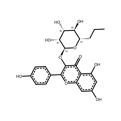 CCC[C@@H]1O[C@@H](Oc2c(-c3ccc(O)cc3)oc3cc(O)cc(O)c3c2=O)[C@H](O)[C@H](O)[C@H]1O